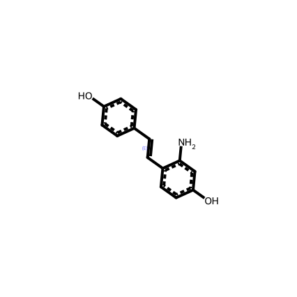 Nc1cc(O)ccc1/C=C/c1ccc(O)cc1